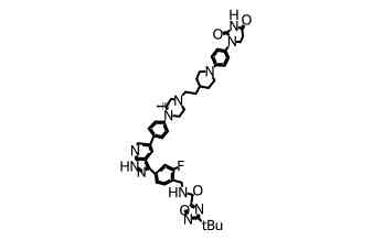 C[C@H]1CN(CCC2CCN(c3ccc(N4CCC(=O)NC4=O)cc3)CC2)CCN1c1ccc(-c2cnc3[nH]nc(-c4ccc(CNC(=O)c5nc(C(C)(C)C)no5)c(F)c4)c3c2)cc1